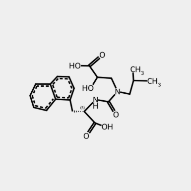 CC(C)CN(CC(O)C(=O)O)C(=O)N[C@@H](Cc1cccc2ccccc12)C(=O)O